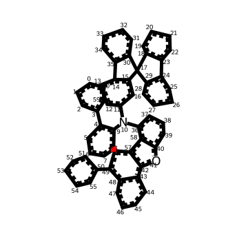 c1ccc(-c2ccccc2N(c2ccc3c(c2)C2(c4ccccc4-c4ccccc42)c2ccccc2-3)c2cccc3oc4c5ccccc5c(-c5ccccc5)cc4c23)cc1